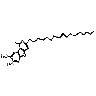 CCCCCCCC/C=C/CCCCCCCc1cc2oc3cc(O)c(O)cc3c2c(=O)o1